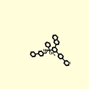 CC(NCc1ccc(-c2ccccc2)cc1)(c1ccccc1)c1cc(-c2ccc(-c3cccnc3)cc2)cc(-c2ccc3ccccc3c2)c1